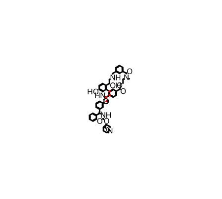 CN(CCOC(=O)c1ccc(COc2cccc([C@@H](NC(=O)OC3CN4CCC3CC4)c3ccccc3)c2)cc1)C(=O)c1cccc(CNCC(O)c2ccc(O)c3[nH]c(=O)ccc23)c1